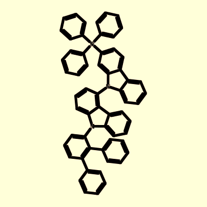 c1ccc(-c2cccc(-n3c4ccccc4c4c(-n5c6ccccc6c6ccc([Si](c7ccccc7)(c7ccccc7)c7ccccc7)cc65)cccc43)c2-c2ccccc2)cc1